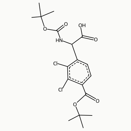 CC(C)(C)OC(=O)NC(C(=O)O)c1ccc(C(=O)OC(C)(C)C)c(Cl)c1Cl